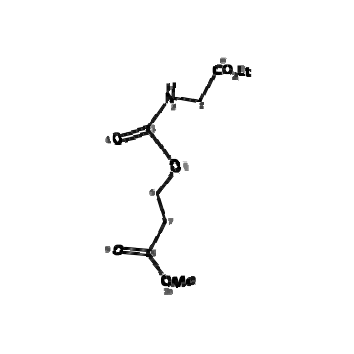 CCOC(=O)CNC(=O)OCCC(=O)OC